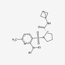 CCN(c1nc(C)ccc1S(=O)(=O)N1CCC[C@H]1C(=O)NC12CC(C1)C2)C(C)C